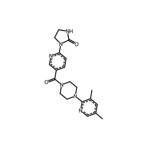 Cc1cnc(N2CCN(C(=O)c3ccc(N4CCNC4=O)nc3)CC2)c(C)c1